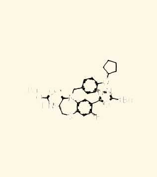 CC(C)(C)OC(=O)N[C@H]1CSc2cc(F)c(-c3nnc(C(C)(C)C)o3)cc2N(Cc2ccc(OC3CCCC3)cc2)C1=O